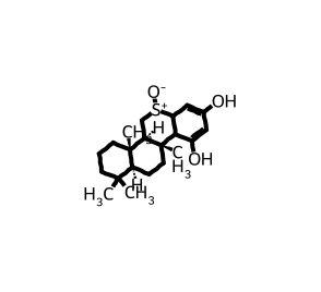 CC1(C)CCC[C@]2(C)[C@H]3C[S+]([O-])C4C=C(O)C=C(O)C4[C@]3(C)CC[C@@H]12